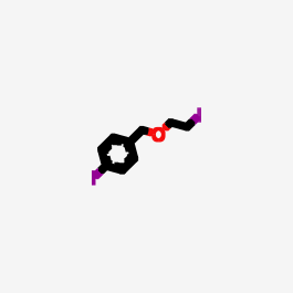 ICCOCc1ccc(I)cc1